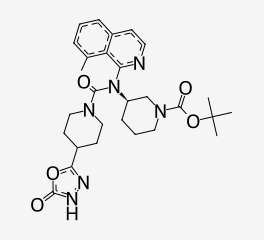 Cc1cccc2ccnc(N(C(=O)N3CCC(c4n[nH]c(=O)o4)CC3)[C@@H]3CCCN(C(=O)OC(C)(C)C)C3)c12